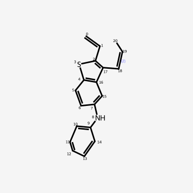 C=Cc1sc2ccc(Nc3ccccc3)cc2c1/C=C\C